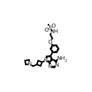 CS(=O)(=O)NCCOc1cccc(-c2cn(C3CC(CN4CCC4)C3)c3ncnc(N)c23)c1